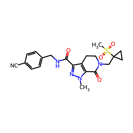 Cn1nc(C(=O)NCc2ccc(C#N)cc2)c2c1C(=O)N(CC1(S(C)(=O)=O)CC1)CC2